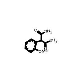 COc1ccccc1C(C(N)=O)C(N)=O